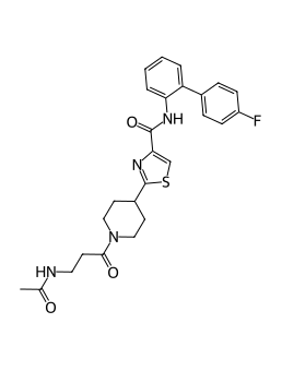 CC(=O)NCCC(=O)N1CCC(c2nc(C(=O)Nc3ccccc3-c3ccc(F)cc3)cs2)CC1